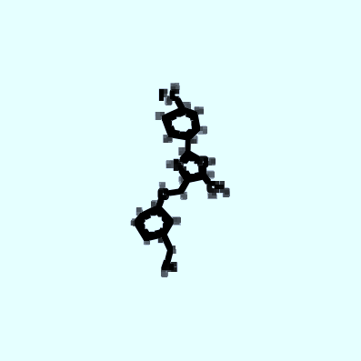 CC(=O)Cc1cccc(OCc2nc(-c3ccc(C(F)(F)F)cc3)oc2C)c1